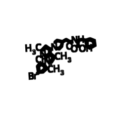 Cc1cc(N2CCC(CC(=O)NC(Cc3ccccc3)C(=O)O)CC2)c2c(C)cn(-c3c(C)cc(Br)cc3C)c2n1